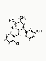 C=C(/C=C(/c1cccc(O)c1)N(C)Cc1ccccc1Cl)CO